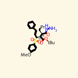 COc1ccc(S(=O)(=O)C(C=Cc2ccccc2)[C@H](C(=O)OC(C)(C)C)[C@@H](CC(C)C)C(=O)NN)cc1